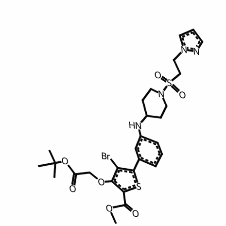 COC(=O)c1sc(-c2cccc(NC3CCN(S(=O)(=O)CCn4cccn4)CC3)c2)c(Br)c1OCC(=O)OC(C)(C)C